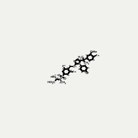 CCCC[C@@H](C(=O)O)N(C)S(=O)(=O)c1cc(F)c(CSc2ncc(C(C)(C)c3ccc(F)c(OC)c3)n2-c2ccc(F)cc2)c(F)c1